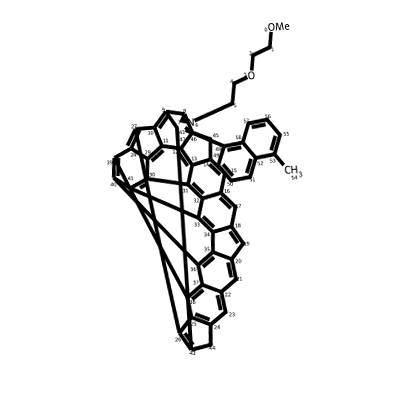 COCCOCCN1CC2C3=c4c5c6c7c(cc8cc9cc%10cc%11cc%12c%13c(c4c4c5c5c7c8c7c9c%10c8c%11c%13c4c8c75)=C(C3)C%12)CC62C1c1cccc2c(C)cccc12